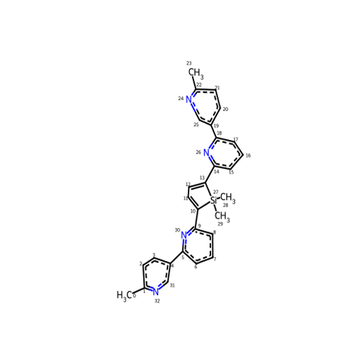 Cc1ccc(-c2cccc(C3=CC=C(c4cccc(-c5ccc(C)nc5)n4)[Si]3(C)C)n2)cn1